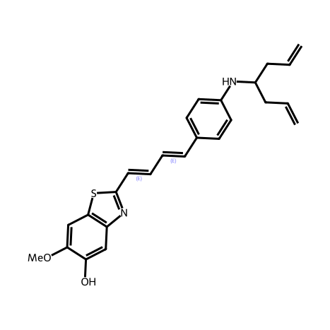 C=CCC(CC=C)Nc1ccc(/C=C/C=C/c2nc3cc(O)c(OC)cc3s2)cc1